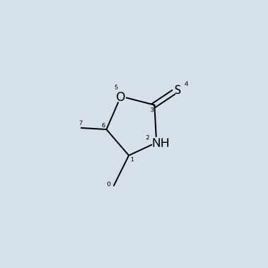 CC1NC(=S)OC1C